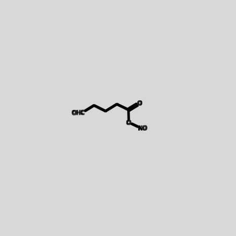 O=CCCCC(=O)ON=O